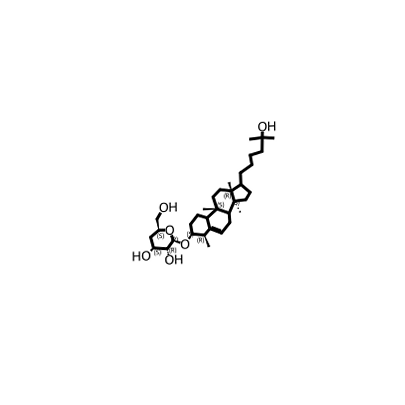 C[C@@H]1C2=CCC3[C@@](C)(CC[C@]4(C)C(CCCCC(C)(C)O)CC[C@@]34C)C2CC[C@@H]1O[C@@H]1O[C@H](CO)C[C@H](O)[C@H]1O